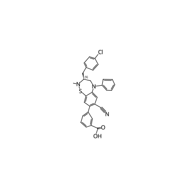 CN1Sc2cc(-c3cccc(C(=O)O)c3)c(C#N)cc2N(c2ccccc2)C[C@@H]1Cc1ccc(Cl)cc1